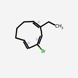 CCC1=C/CCC/C=C/C(Br)=C\1